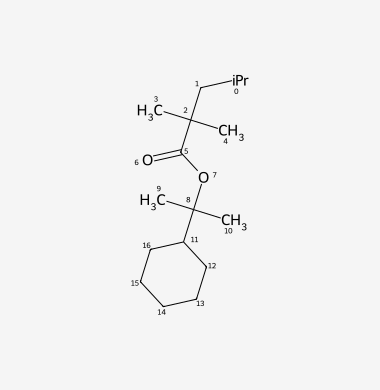 CC(C)CC(C)(C)C(=O)OC(C)(C)C1CCCCC1